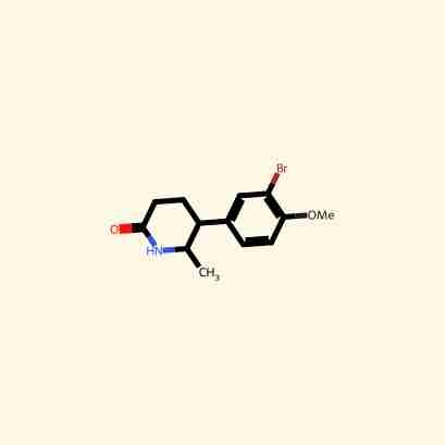 COc1ccc(C2CCC(=O)NC2C)cc1Br